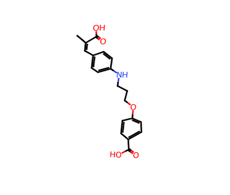 CC(=Cc1ccc(NCCCOc2ccc(C(=O)O)cc2)cc1)C(=O)O